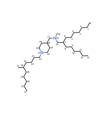 CCCCCCCC(CCCCCC)CN(C)CC1CCN(CCCCC(C)CCCCC)CC1